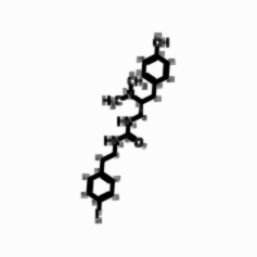 CN(C)[C@H](CNC(=O)NCCc1ccc(F)cc1)Cc1ccc(O)cc1